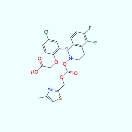 Cc1csc(COC(=O)ON2CCc3c(ccc(F)c3F)[C@H]2c2cc(Cl)ccc2OCC(=O)O)n1